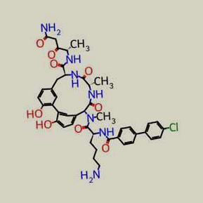 C[C@H](NC(=O)[C@@H]1Cc2ccc(O)c(c2)-c2cc(ccc2O)[C@H](N(C)C(=O)[C@H](CCCCN)NC(=O)c2ccc(-c3ccc(Cl)cc3)cc2)C(=O)N[C@@H](C)C(=O)N1)C(=O)CC(N)=O